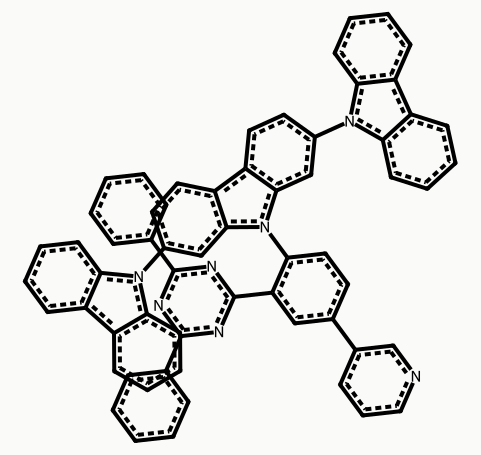 c1ccc(-c2nc(-c3ccccc3)nc(-c3cc(-c4cccnc4)ccc3-n3c4cc(-n5c6ccccc6c6ccccc65)ccc4c4ccc(-n5c6ccccc6c6ccccc65)cc43)n2)cc1